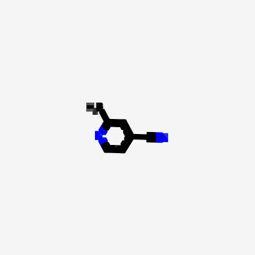 Bc1cc(C#N)ccn1